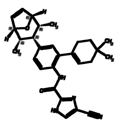 C[C@@H]1[C@H](c2ccc(NC(=O)c3nc(C#N)c[nH]3)c(C3=CCC(C)(C)CC3)c2)[C@H](C)[C@@H]2C=C[C@H]1O2